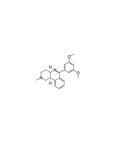 COc1cc(OC)cc(C2=N[C@@H]3CCN(C)C[C@@H]3c3ccccc32)c1